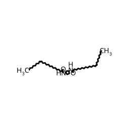 CCCCCCCC/C=C\CCCCCCCCCCCC(=O)N[C@@H]1CC[C@H](NC(=O)CCCCCCCCCCC/C=C\CCCCCCCC)C1